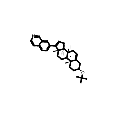 CC(C)(C)O[C@H]1CC[C@@]2(C)C(=CC[C@@H]3[C@@H]2CC[C@]2(C)C(c4ccc5ccncc5c4)=CC[C@@H]32)C1